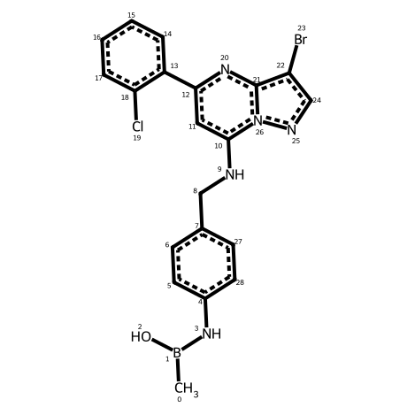 CB(O)Nc1ccc(CNc2cc(-c3ccccc3Cl)nc3c(Br)cnn23)cc1